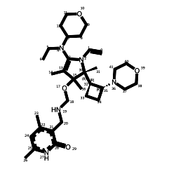 C=CN1C(N(CC)C2CCOCC2)=C(C)C(C)(OCNCc2c(C)cc(C)[nH]c2=O)[C@@]1(C)[C@@H]1CC[C@H]1N1CCOCC1